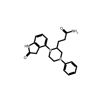 NC(=O)CCC1CN(c2ccccc2)CCN1c1cccc2c1CC(=O)N2